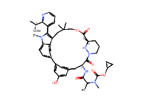 CCn1c(-c2cccnc2[C@H](C)OC)c2c3cc(ccc31)-c1cc(O)cc(c1)C[C@H](NC(=O)C(C(C)C)N(C)C(=O)OC1CC1)C(=O)N1CCC[C@H](N1)C(=O)OCC(C)(C)C2